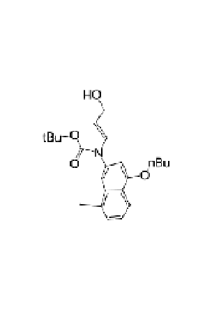 CCCCOc1cc(N(/C=C/CO)C(=O)OC(C)(C)C)cc2c(C)cccc12